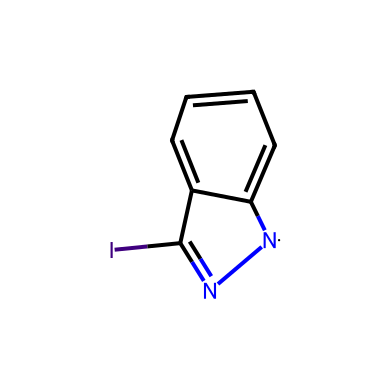 IC1=N[N]c2ccccc21